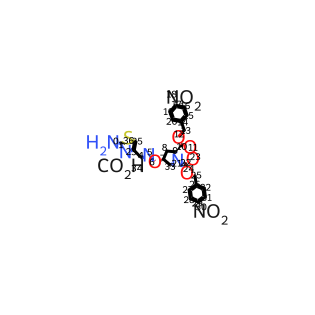 Nc1nc(/C(=N/O[C@H]2C[C@@H](C(=O)OCc3ccc([N+](=O)[O-])cc3)N(C(=O)OCc3ccc([N+](=O)[O-])cc3)C2)C(=O)O)cs1